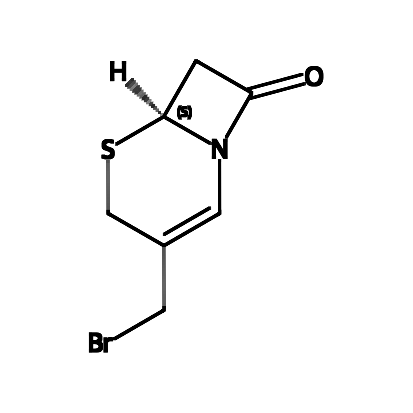 O=C1C[C@@H]2SCC(CBr)=CN12